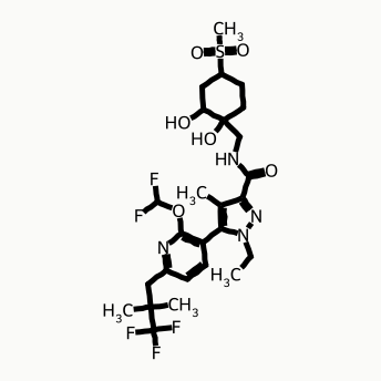 CCn1nc(C(=O)NCC2(O)CCC(S(C)(=O)=O)CC2O)c(C)c1-c1ccc(CC(C)(C)C(F)(F)F)nc1OC(F)F